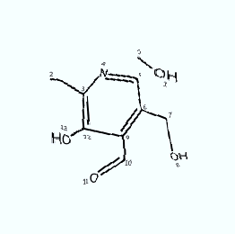 CO.Cc1ncc(CO)c(C=O)c1O